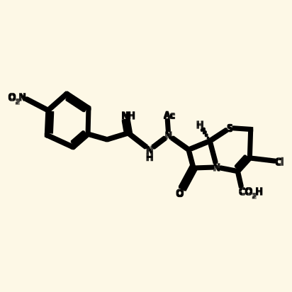 CC(=O)N(NC(=N)Cc1ccc([N+](=O)[O-])cc1)C1C(=O)N2C(C(=O)O)=C(Cl)CS[C@H]12